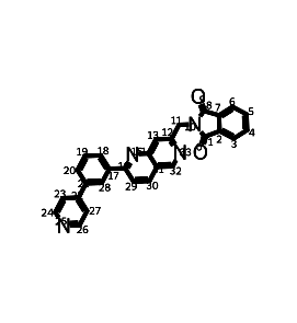 O=C1c2ccccc2C(=O)N1Cc1cc2nc(-c3cccc(-c4ccncc4)c3)ccc2cn1